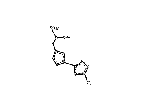 CCOC(=O)N(Cc1ccc(-c2noc(C(F)(F)F)n2)s1)OC